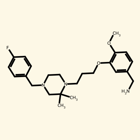 COc1ccc(CN)cc1OCCCN1CCN(Cc2ccc(F)cc2)CC1(C)C